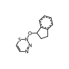 C1=CSN(OC2CCc3ccccc32)N=N1